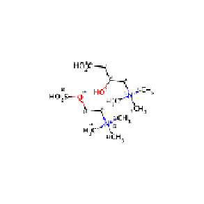 C[N+](C)(C)CC(O)CC(=O)O.C[N+](C)(C)CCOS(=O)(=O)O